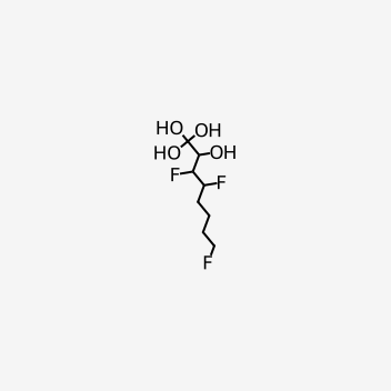 OC(C(F)C(F)CCCCF)C(O)(O)O